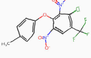 Cc1ccc(Oc2c([N+](=O)[O-])cc(C(F)(F)F)c(Cl)c2[N+](=O)[O-])cc1